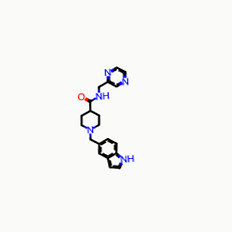 O=C(NCc1cnccn1)C1CCN(Cc2ccc3[nH]ccc3c2)CC1